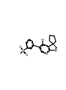 CS(=O)(=O)c1cccc(-c2cnc3c(c2Cl)C2(CCCC2)CN3)c1